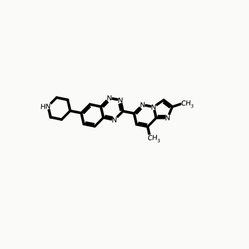 Cc1cn2nc(-c3nnc4cc(C5CCNCC5)ccc4n3)cc(C)c2n1